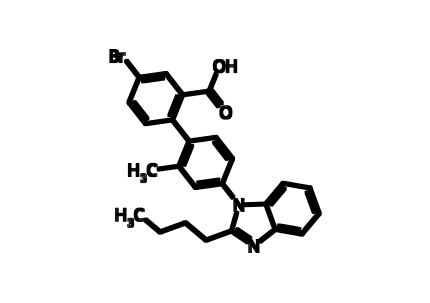 CCCCc1nc2ccccc2n1-c1ccc(-c2ccc(Br)cc2C(=O)O)c(C)c1